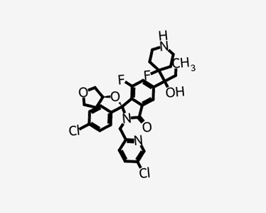 CCC(O)(c1cc(F)c2c(c1)C(=O)N(Cc1ccc(Cl)cn1)[C@@]2(O[C@H]1CCOC1)c1ccc(Cl)cc1)C1(F)CCNCC1